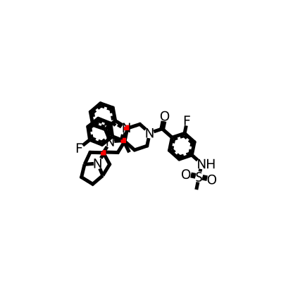 Cc1nc2ccccc2n1C1CC2CCC(C1)N2CCC1(c2cccc(F)c2)CCN(C(=O)c2ccc(NS(C)(=O)=O)cc2F)CC1